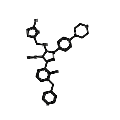 O=C=C1C(c2cccn(Cc3ccncc3)c2=O)=NN(c2ccc(N3CCOCC3)cc2)C1NCc1ccc(Cl)s1